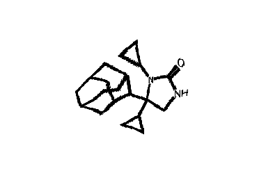 O=C1NCC(C2CC2)(C2C3CC4CC(C3)CC2C4)N1C1CC1